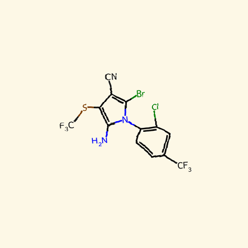 N#Cc1c(SC(F)(F)F)c(N)n(-c2ccc(C(F)(F)F)cc2Cl)c1Br